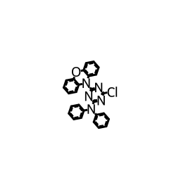 Clc1nc(N(c2ccccc2)c2ccccc2)nc(N2c3ccccc3Oc3ccccc32)n1